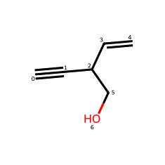 C#CC(C=C)CO